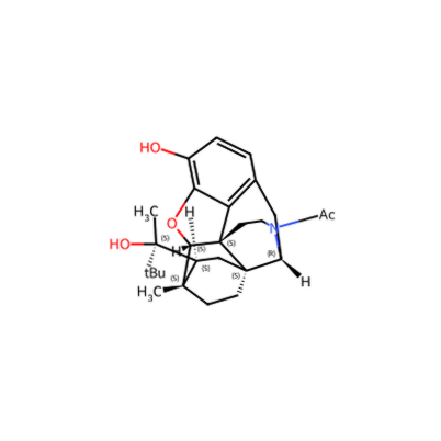 CC(=O)N1CC[C@]23c4c5ccc(O)c4O[C@H]2[C@@]2(C)CC[C@@]3(C[C@@H]2[C@](C)(O)C(C)(C)C)[C@H]1C5